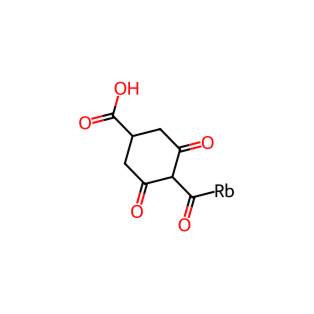 O=C(O)C1CC(=O)C([C](=O)[Rb])C(=O)C1